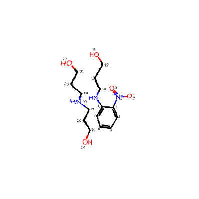 O=[N+]([O-])c1ccccc1NCCCO.OCCCNCCCO